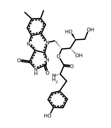 Cc1cc2nc3c(=O)[nH]c(=O)nc-3n(C[C@@H](OC(=O)[C@@H](N)Cc3ccc(O)cc3)[C@@H](O)[C@@H](O)CO)c2cc1C